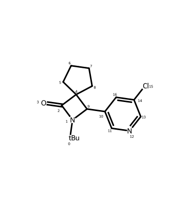 CC(C)(C)N1C(=O)C2(CCCC2)C1c1cncc(Cl)c1